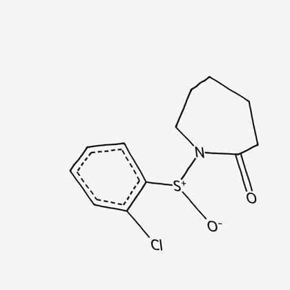 O=C1CCCCCN1[S+]([O-])c1ccccc1Cl